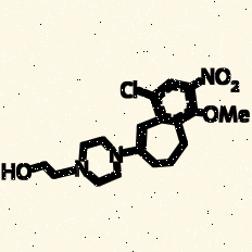 COc1c([N+](=O)[O-])cc(Cl)c2c1CCCC(N1CCN(CCO)CC1)=C2